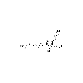 NCCCC[C@H](NC(=O)CCCCCCC(=O)O)C(=O)O.[KH]